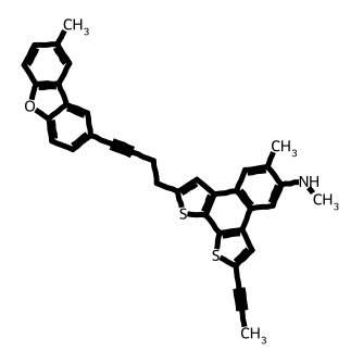 CC#Cc1cc2c3cc(NC)c(C)cc3c3cc(CCC#Cc4ccc5oc6ccc(C)cc6c5c4)sc3c2s1